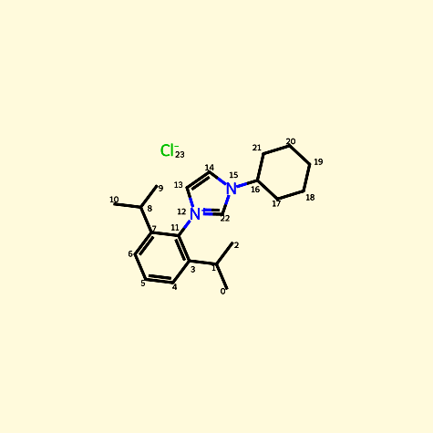 CC(C)c1cccc(C(C)C)c1-[n+]1ccn(C2CCCCC2)c1.[Cl-]